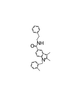 Cc1ccccc1Cn1c(C)c(C)c2cc(C(=O)NCCc3ccccc3)ccc21